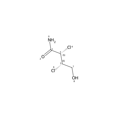 NC(=O)[C@H](Cl)[C@@H](Cl)CO